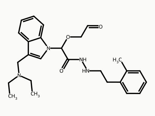 CCN(CC)Cc1cn(C(OCC=O)C(=O)NNCCc2ccccc2C)c2ccccc12